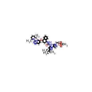 C[C@@H]1CCC[C@H](C)N1c1nnc2ccc(O[C@@H]3CC[C@H](NC(=O)Nc4cc(C(C)(C)C)nn4-c4cnn(CCOS(C)(=O)=O)c4)c4ccccc43)cn12